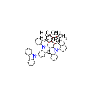 Cc1cc2c3c(c1)N(c1ccccc1-c1ccc(C(C)(C)C)cc1)c1cc(-n4c5ccccc5c5ccccc54)ccc1B3c1ccccc1N2c1ccccc1-c1ccc(C(C)(C)C)cc1